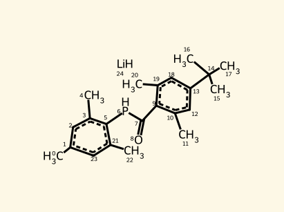 Cc1cc(C)c(PC(=O)c2c(C)cc(C(C)(C)C)cc2C)c(C)c1.[LiH]